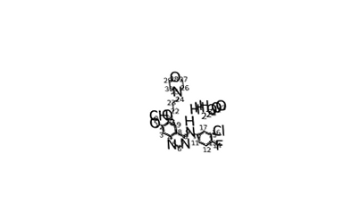 COc1cc2ncnc(Nc3ccc(F)c(Cl)c3)c2cc1OCCCN1CCOCC1.O.O.O